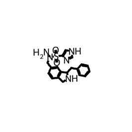 NN(Cc1ccc2c(c1)C(Cc1ccccc1)NC2)S(=O)(=O)c1c[nH]cn1